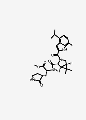 COC(=O)[C@H](C[C@@H]1CCNC1=O)NC(=O)[C@@H]1[C@@H]2[C@H](CN1C(=O)c1cc3c(C(C)C)ccc(F)c3[nH]1)C2(C)C